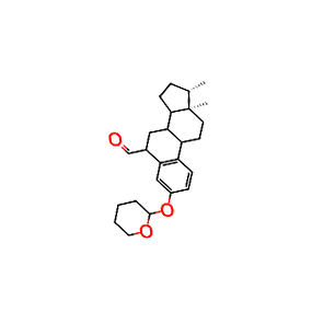 C[C@H]1CCC2C3CC(C=O)c4cc(OC5CCCCO5)ccc4C3CC[C@@]21C